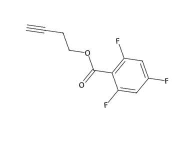 C#CCCOC(=O)c1c(F)cc(F)cc1F